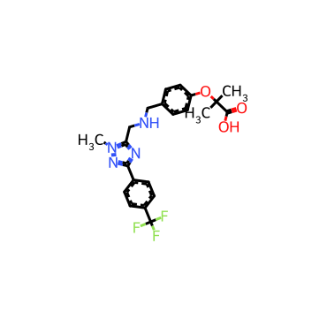 Cn1nc(-c2ccc(C(F)(F)F)cc2)nc1CNCc1ccc(OC(C)(C)C(=O)O)cc1